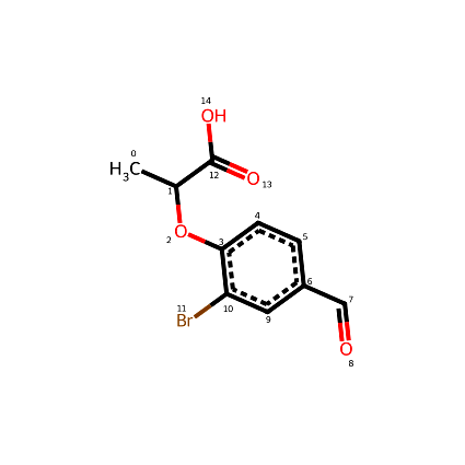 CC(Oc1ccc(C=O)cc1Br)C(=O)O